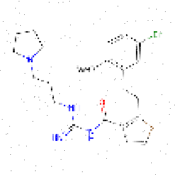 COc1ccc(Br)cc1CCc1sccc1C(=O)NC(=N)NCCCN1CCCC1